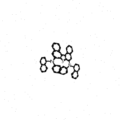 c1ccc(N(c2cccc3ccccc23)c2cc3ccccc3c3c2sc2c(N(c4ccccc4)c4cccc5ccccc45)cc4ccccc4c23)cc1